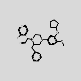 COc1ccc(N2CCN([C@H](C=O)c3ccccc3F)C(Cc3ccccc3)C2)cc1OC1CCCC1